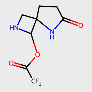 O=C1CCC2(CNC2OC(=O)C(F)(F)F)N1